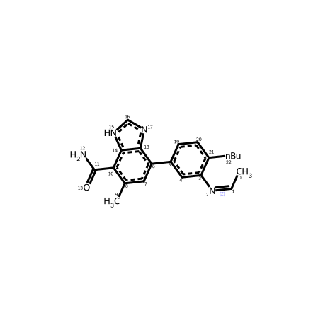 C/C=N\c1cc(-c2cc(C)c(C(N)=O)c3[nH]cnc23)ccc1CCCC